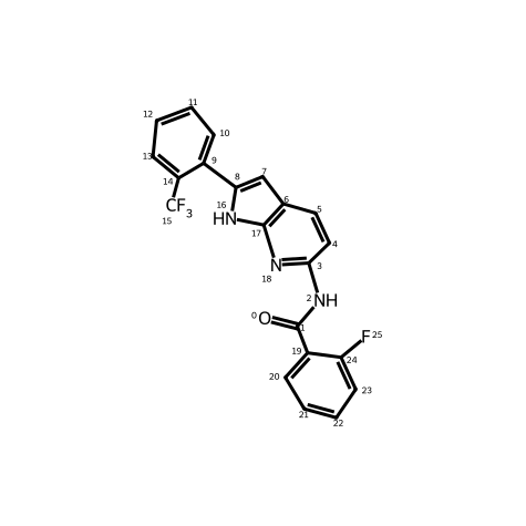 O=C(Nc1ccc2cc(-c3ccccc3C(F)(F)F)[nH]c2n1)c1ccccc1F